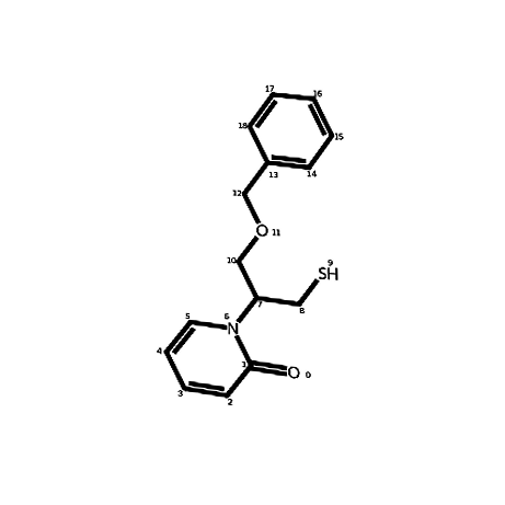 O=c1ccccn1C(CS)COCc1ccccc1